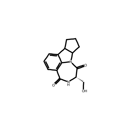 O=C1N[C@@H](CO)C(=O)N2c3c1cccc3C1CCCC12